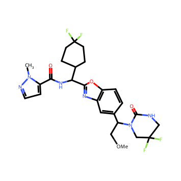 COCC(c1ccc2oc(C(NC(=O)c3ccnn3C)C3CCC(F)(F)CC3)nc2c1)N1CC(F)(F)CNC1=O